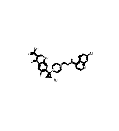 Cl.O=C(O)c1c[nH]c2cc(C3(N4CCN(CCNc5ccnc6cc(Cl)ccc56)CC4)CC3)c(F)cc2c1=O